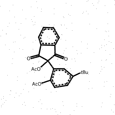 CC(=O)Oc1ccc(C(C)(C)C)cc1C1(OC(C)=O)C(=O)c2ccccc2C1=O